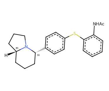 CC(=O)Nc1ccccc1Sc1ccc([C@@H]2CCC[C@@H]3CCCN32)cc1